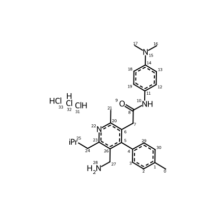 Cc1ccc(-c2c(CC(=O)Nc3ccc(N(C)C)cc3)c(C)nc(CC(C)C)c2CN)cc1.Cl.Cl.Cl